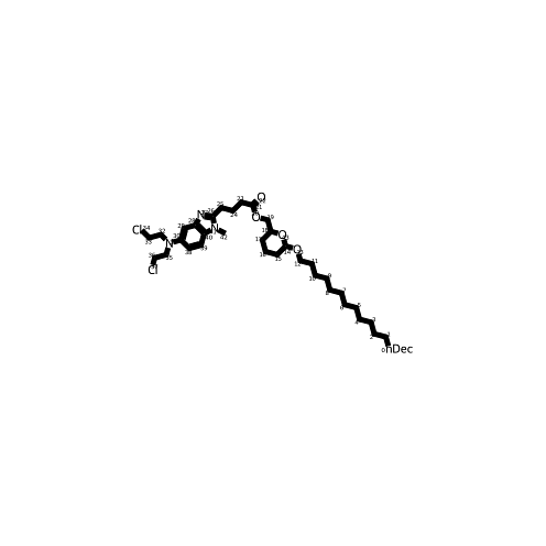 CCCCCCCCCCCCCCCCCCCCCCOC1CCCC(COC(=O)CCCc2nc3cc(N(CCCl)CCCl)ccc3n2C)O1